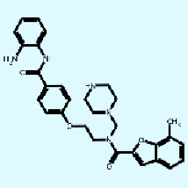 Cc1cccc2cc(C(=O)N(CCOc3ccc(C(=O)Nc4ccccc4N)cc3)CN3CCNCC3)oc12